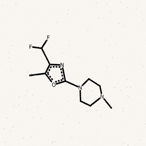 Cc1oc(N2CCN(C)CC2)nc1C(F)F